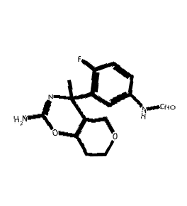 CC1(c2cc(NC=O)ccc2F)N=C(N)OC2CCOCC21